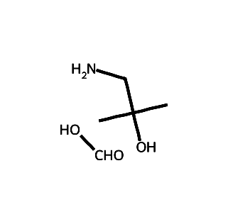 CC(C)(O)CN.O=CO